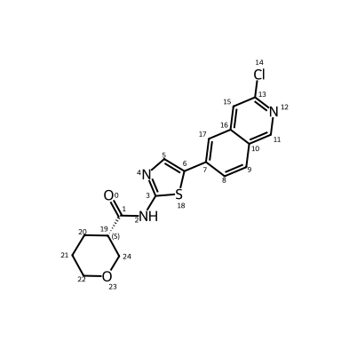 O=C(Nc1ncc(-c2ccc3cnc(Cl)cc3c2)s1)[C@H]1CCCOC1